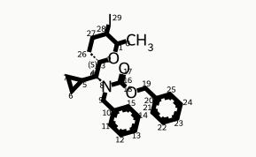 CC1O[C@H]([C@@H](C2CC2)N(Cc2ccccc2)C(=O)OCc2ccccc2)CCC1I